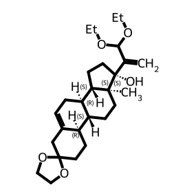 C=C(C(OCC)OCC)[C@]1(O)CC[C@H]2[C@@H]3CC=C4CC5(CC[C@@H]4[C@H]3CC[C@@]21C)OCCO5